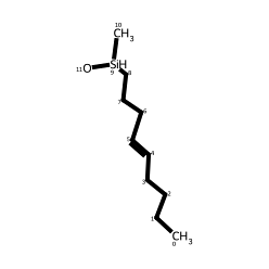 CCCCC=CCCC[SiH](C)[O]